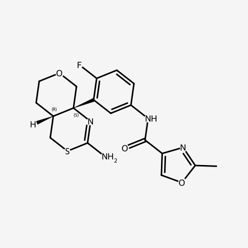 Cc1nc(C(=O)Nc2ccc(F)c([C@]34COCC[C@H]3CSC(N)=N4)c2)co1